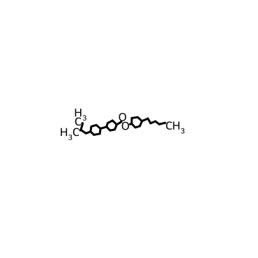 CCCCCCC1CCC(OC(=O)C2CCC(C3CCC(CC(C)CC)CC3)CC2)CC1